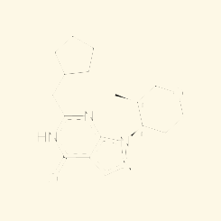 C[C@H]1COCC[C@H]1n1ncc2c(=O)[nH]c(CC3CCCC3)nc21